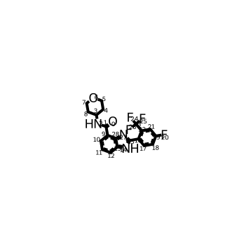 O=C(NC1CCOCC1)c1cccc2[nH]c(-c3ccc(F)cc3C(F)(F)F)nc12